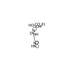 CCOC(=O)C(O)C1(O)CCN(C(=O)NCCCc2ccc3c(n2)NCCC3)CC1